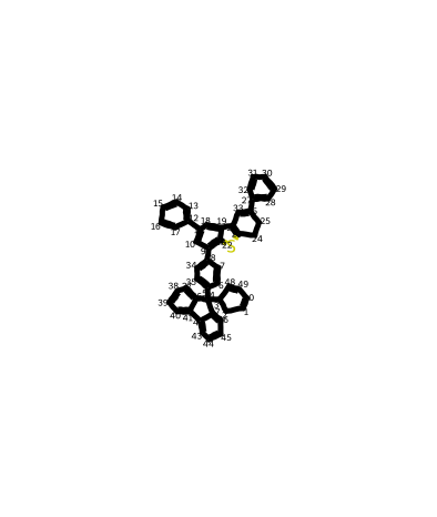 C1=CCC(C2(c3ccc(-c4cc(-c5ccccc5)cc5c6c(sc45)CCC(c4ccccc4)=C6)cc3)c3ccccc3-c3ccccc32)C=C1